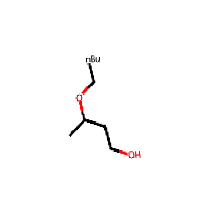 CCCCCOC(C)CCO